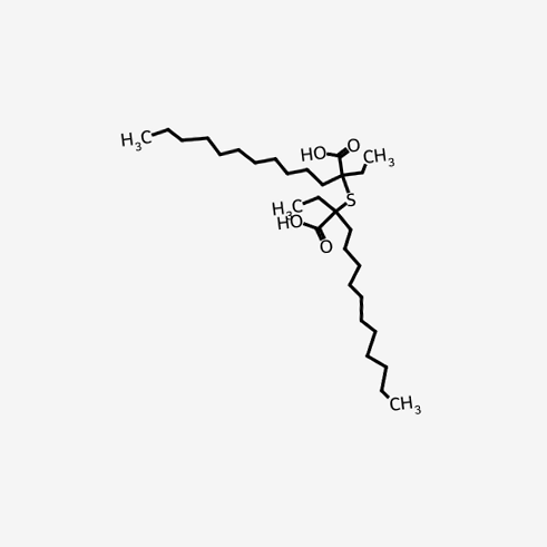 CCCCCCCCCCCC(CC)(SC(CC)(CCCCCCCCCCC)C(=O)O)C(=O)O